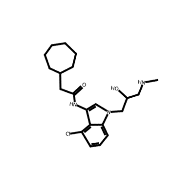 CNCC(O)Cn1cc(NC(=O)CC2CCCCCC2)c2c(Cl)cccc21